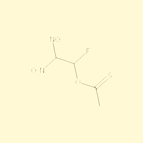 CC(=S)OC(F)C([N+](=O)[O-])[N+](=O)[O-]